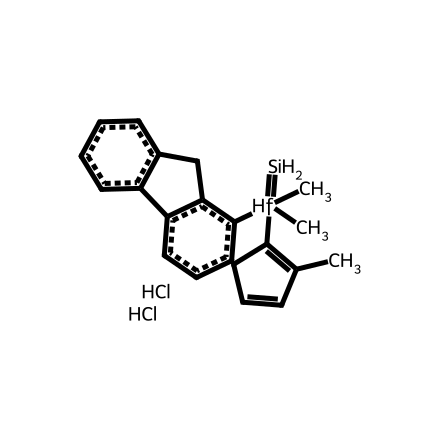 CC1=[C]([Hf]([CH3])([CH3])(=[SiH2])[c]2cccc3c2Cc2ccccc2-3)CC=C1.Cl.Cl